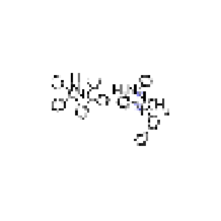 CC(/N=C(\N=C(/N)c1ccccc1)c1ccc(-c2ccc(C3=C(C4C=CC=CC4)N4NC(C5=CC=CCC5)C(c5ccccc5)=C4c4ccccc43)cc2)cc1)c1cccc(-c2ccccc2)c1